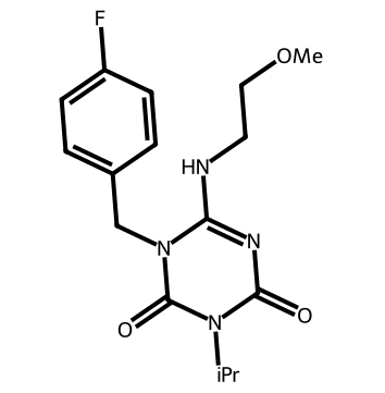 COCCNc1nc(=O)n(C(C)C)c(=O)n1Cc1ccc(F)cc1